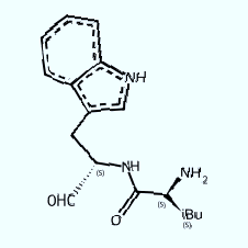 CC[C@H](C)[C@H](N)C(=O)N[C@H](C=O)Cc1c[nH]c2ccccc12